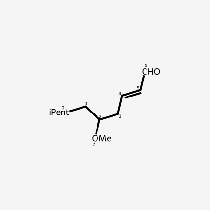 CCCC(C)CC(C/C=C/C=O)OC